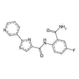 NC(=O)c1cc(F)ccc1NC(=O)c1csc(-c2cccnc2)n1